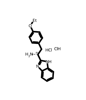 CCOc1ccc(C[C@@H](N)c2nc3ccccc3[nH]2)cc1.Cl.Cl